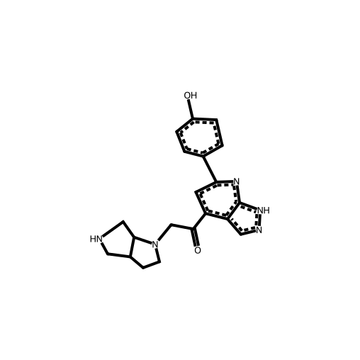 O=C(CN1CCC2CNCC21)c1cc(-c2ccc(O)cc2)nc2[nH]ncc12